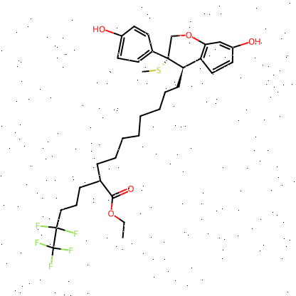 CCOC(=O)C(CCCCCCCC[C@@H]1c2ccc(O)cc2OC[C@]1(SC)c1ccc(O)cc1)CCCC(F)(F)C(F)(F)F